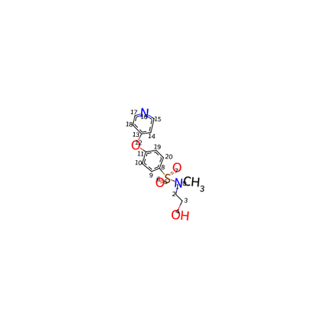 CN(CCO)S(=O)(=O)c1ccc(Oc2ccncc2)cc1